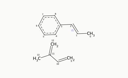 C/C=C/c1ccccc1.C=CC(=C)C